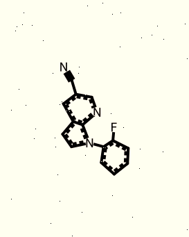 N#Cc1cnc2c(ccn2-c2ccccc2F)c1